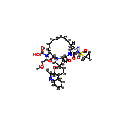 COCCN(C(=O)O)[C@H]1CCCCC/C=C\[C@@H]2C[C@@]2(C(=O)NS(=O)(=O)C2(C)CC2)NC(=O)[C@@H]2C[C@]3(CCc4c(c(C)nc5ccccc45)O3)CN2C1=O